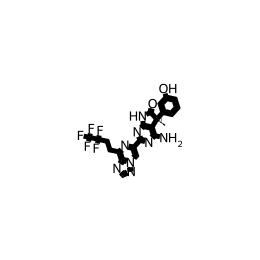 C[C@@]1(c2cccc(O)c2)C(=O)Nc2nc(-c3cn4ncnc4c(CCC(F)(F)C(F)(F)F)n3)nc(N)c21